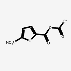 [CH2]CC(=O)OC(=O)c1ccc(C(=O)O)o1